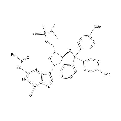 COc1ccc(C(O[C@H]2C[C@H](n3cnc4c(=O)[nH]c(NC(=O)C(C)C)nc43)O[C@@H]2COP(=O)(Cl)N(C)C)(c2ccccc2)c2ccc(OC)cc2)cc1